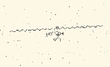 CCCCCCCCCCCCCCCCCCOC(CCCCCCCCCCCCCCCCCC)C(CO)(CO)COC(=O)CC